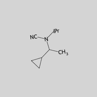 CC(C)N(C#N)C(C)C1CC1